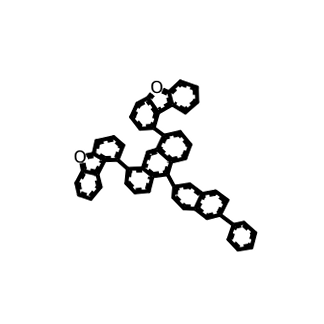 c1ccc(-c2ccc3cc(-c4c5cccc(-c6cccc7oc8ccccc8c67)c5cc5c(-c6cccc7oc8ccccc8c67)cccc45)ccc3c2)cc1